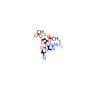 CC(=O)OC[C@H]1O[C@@H](n2c(=O)n(CC3(C#N)CC3)c3cnc(N)nc32)[C@H](OC(C)=O)[C@@H]1F